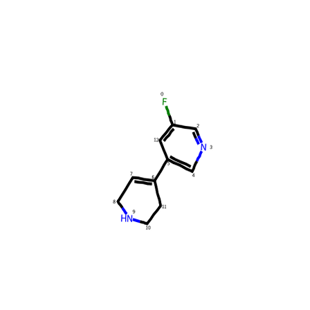 Fc1cncc(C2=CCNCC2)c1